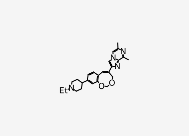 CCN1CCC(c2ccc3c(c2)OCOC/C(c2cn4cc(C)nc(C)c4n2)=C\3)CC1